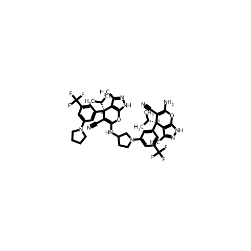 Cc1n[nH]c2c1[C@](c1cc(N3CCC(NC4=C(C#N)[C@](c5cc(N6CCCC6)cc(C(F)(F)F)c5)(C(C)C)c5c(C)n[nH]c5O4)C3)cc(C(F)(F)F)c1)(C(C)C)C(C#N)=C(N)O2